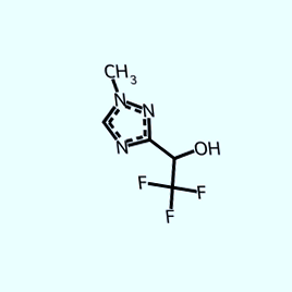 Cn1cnc(C(O)C(F)(F)F)n1